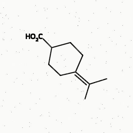 CC(C)=C1CCC(C(=O)O)CC1